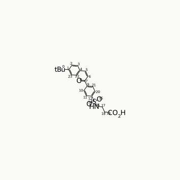 CC(C)(C)c1ccc(/C=C\C(=O)c2ccc(S(=O)(=O)NCCC(=O)O)cc2)cc1